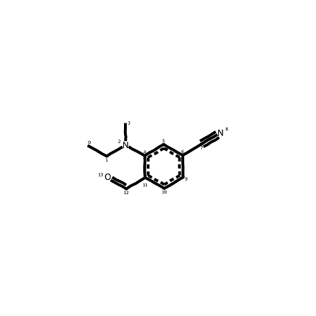 CCN(C)c1cc(C#N)ccc1C=O